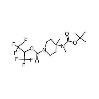 CN(C(=O)OC(C)(C)C)C1(C)CCN(C(=O)OC(C(F)(F)F)C(F)(F)F)CC1